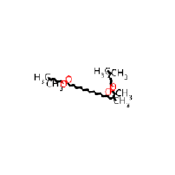 CC(C)CCCOC(=O)CCCCCCCCCCCCCC(C)C(C)C(=O)OCCCC(C)C